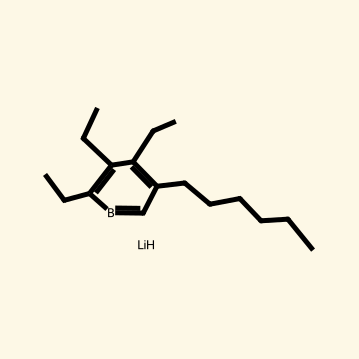 CCCCCCc1cbc(CC)c(CC)c1CC.[LiH]